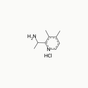 Cc1ccnc(C(C)N)c1C.Cl